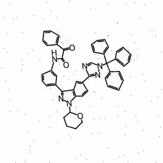 O=C(Nc1cccc(-c2nn(C3CCCCO3)c3ccc(-c4ncn(C(c5ccccc5)(c5ccccc5)c5ccccc5)n4)cc23)c1)C(=O)c1ccccc1